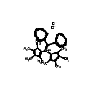 CC1=C(C)C(C)[C]([Zr+2]([C]2=C(C)C(C)=C(C)C2C)=[C](c2ccccc2)c2ccccc2)=C1C.[Cl-].[Cl-]